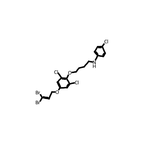 Clc1ccc(NCCCCOc2c(Cl)cc(OCC=C(Br)Br)cc2Cl)cc1